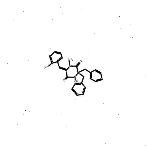 CN1C(=O)C(Cc2ccccc2)(Cc2ccccc2)N(C)C(=O)/C1=C/c1ccccc1C#N